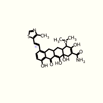 Cc1ncsc1/C=C/c1ccc(O)c2c1CC1CC3C(N(C)C)C(O)=C(C(N)=O)CC3(O)C(O)=C1C2=O